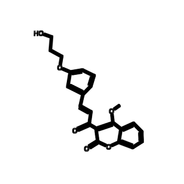 COc1c(C(=O)C=Cc2cccc(OCCCO)c2)c(=O)oc2ccccc12